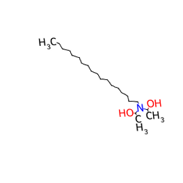 CCCCCCCCCCCCCCCCCCN(C(C)O)C(C)O